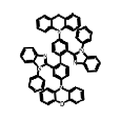 c1ccc(-n2c(-c3cc(N4c5ccccc5Cc5ccccc54)ccc3-c3ccc(N4c5ccccc5Oc5ccccc54)cc3-c3nc4ccccc4n3-c3ccccc3)nc3ccccc32)cc1